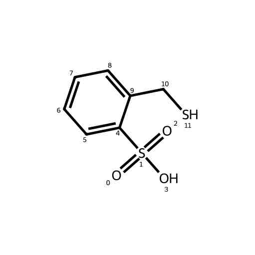 O=S(=O)(O)c1ccccc1CS